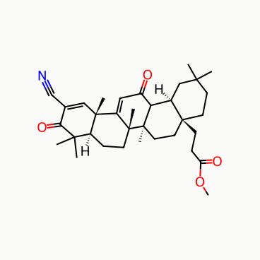 COC(=O)CC[C@]12CCC(C)(C)C[C@@H]1C1C(=O)C=C3[C@@]4(C)C=C(C#N)C(=O)C(C)(C)[C@@H]4CC[C@@]3(C)[C@]1(C)CC2